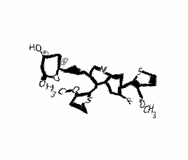 COc1ccsc1-c1cc2ncc(C=C[C@@H]3C[C@@H](O)CC(=O)O3)c(-c3sccc3OC)c2cc1F